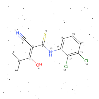 CC(C)C(O)=C(C#N)C(=S)Nc1cccc(Cl)c1Cl